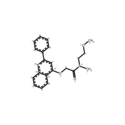 COCCN(C)C(=O)COc1cc(-c2ccccc2)nc2ccccc12